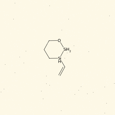 C=C[SiH]1CCCO[SiH2]1